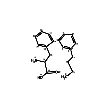 CCCC[n+]1ccccc1.NC(Cc1ccccc1)C(=O)O